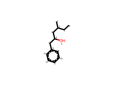 CCC(C)CC(O)Cc1ccccc1